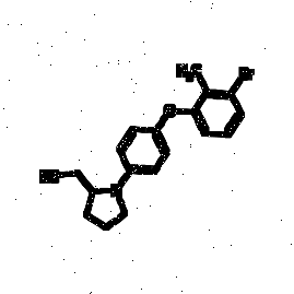 Cc1c(Br)cccc1Oc1ccc(N2CCCC2CC#N)cc1